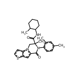 Cc1ccc(N2C(=O)c3cc4sccc4n3CC2(C)C(=O)NC2CCCCC2C)c(C)c1